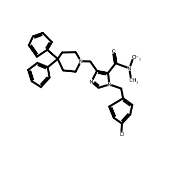 CN(C)C(=O)c1c(CN2CCC(c3ccccc3)(c3ccccc3)CC2)ncn1Cc1ccc(Cl)cc1